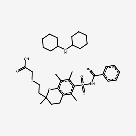 C1CCC(NC2CCCCC2)CC1.Cc1c(C)c(S(=O)(=O)NC(=N)c2ccccc2)c(C)c2c1OC(C)(CCOCC(=O)O)CC2